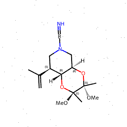 C=C(C)[C@H]1CN(B=N)C[C@H]2O[C@](C)(OC)[C@@](C)(OC)O[C@H]12